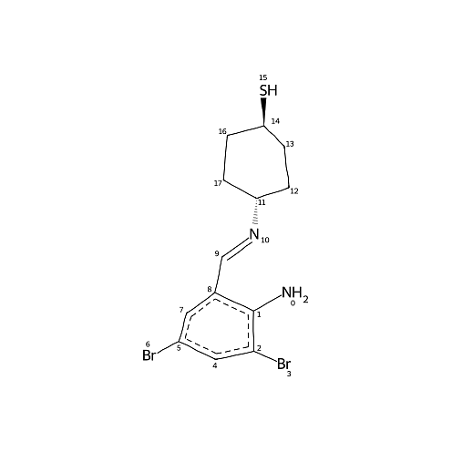 Nc1c(Br)cc(Br)cc1/C=N/[C@H]1CC[C@H](S)CC1